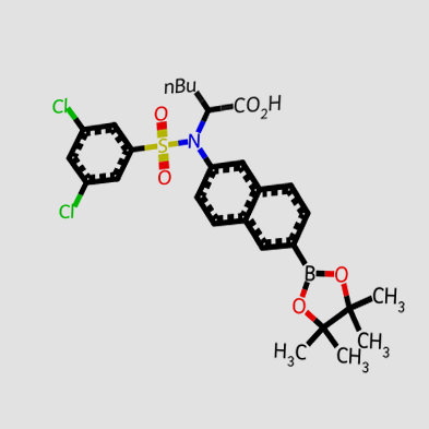 CCCCC(C(=O)O)N(c1ccc2cc(B3OC(C)(C)C(C)(C)O3)ccc2c1)S(=O)(=O)c1cc(Cl)cc(Cl)c1